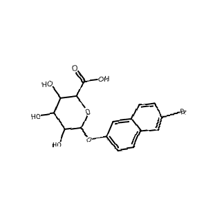 O=C(O)C1OC(Oc2ccc3cc(Br)ccc3c2)C(O)C(O)C1O